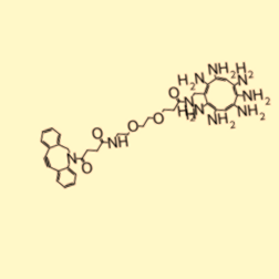 Nc1cc(N)c(N)c(CNC(=O)CCOCCOCCNC(=O)CCC(=O)N2Cc3ccccc3C#Cc3ccccc32)c(N)c(N)cc(N)c1N